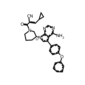 N#CC(=CC1CC1)C(=O)N1CCC[C@H](n2cc(-c3ccc(Oc4ccccc4)cc3)c3c(N)ncnc32)C1